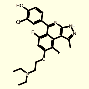 CCN(CC)CCOc1cc(F)c2c(-c3ccc(O)c(Cl)c3)nc3[nH]nc(C)c3c2c1F